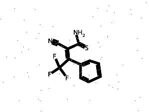 N#CC(C(N)=S)=C(c1ccccc1)C(F)(F)F